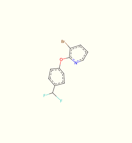 FC(F)c1ccc(Oc2ncccc2Br)cc1